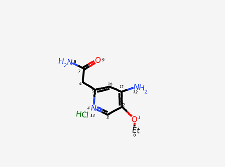 CCOc1cnc(CC(N)=O)cc1N.Cl